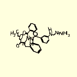 CCOC(=O)[C@H](Cc1ccccc1)N(NC(=O)c1cccc(NC=NN)c1)C(=O)c1ccccc1